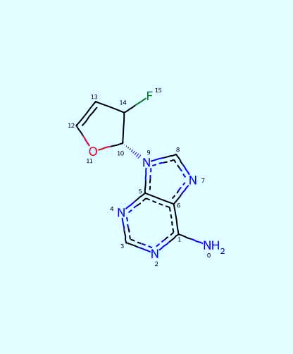 Nc1ncnc2c1ncn2[C@@H]1OC=CC1F